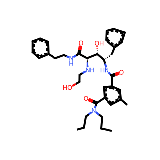 CCCN(CCC)C(=O)c1cc(C)cc(C(=O)N[C@@H](Cc2ccccc2)[C@@H](O)[C@@H](NCCO)C(=O)NCCc2ccccc2)c1